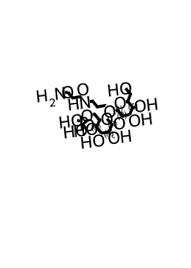 NOCC(=O)NCCCO[C@H]1OC(CO)[C@@H](O)C(O)[C@H]1O[C@H]1OC(COP(=O)(O)O)[C@@H](O)C(O)[C@H]1O